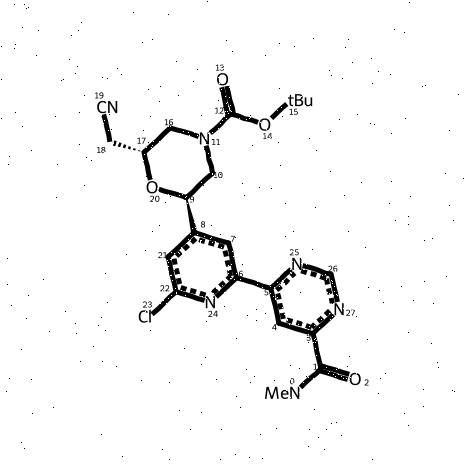 CNC(=O)c1cc(-c2cc([C@@H]3CN(C(=O)OC(C)(C)C)C[C@@H](CC#N)O3)cc(Cl)n2)ncn1